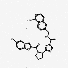 Nc1nccc2cc(CNC(=O)c3csc(C4CCCN4C(=O)c4cn5cc(Cl)ccc5n4)n3)ccc12